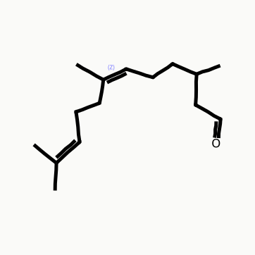 CC(C)=CCC/C(C)=C\CCC(C)CC=O